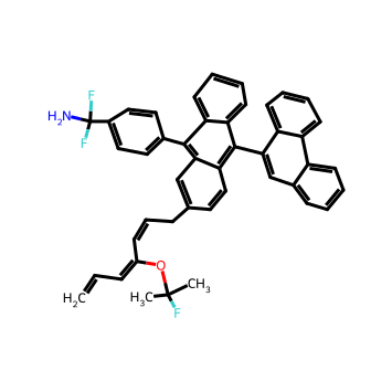 C=C/C=C(\C=C/Cc1ccc2c(-c3cc4ccccc4c4ccccc34)c3ccccc3c(-c3ccc(C(N)(F)F)cc3)c2c1)OC(C)(C)F